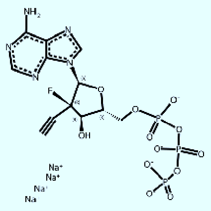 C#C[C@@]1(F)[C@H](O)[C@@H](COP(=O)([O-])OP(=O)([O-])OP(=O)([O-])[O-])O[C@@H]1n1cnc2c(N)ncnc21.[Na+].[Na+].[Na+].[Na+]